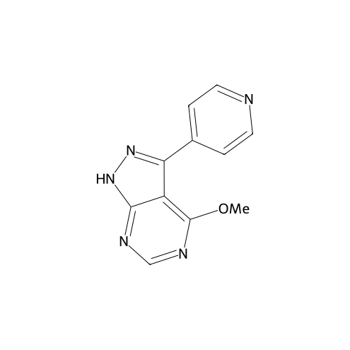 COc1ncnc2[nH]nc(-c3ccncc3)c12